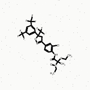 CCSC(C)(C(=O)Nc1ccc(C2=NOC(c3cc(C(F)(F)F)cc(C(F)(F)F)c3)(C(F)(F)F)C2)cc1Cl)[S+]([O-])CC